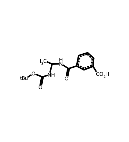 CC(NC(=O)OC(C)(C)C)NC(=O)c1cccc(C(=O)O)c1